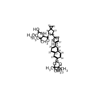 COC(O)N[C@H](C(=O)N1CC2(CC2)C[C@H]1c1ncc(-c2ccc3cc(B4OC(C)(C)C(C)(C)O4)ccc3c2)[nH]1)C(C)C